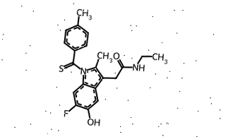 CCNC(=O)Cc1c(C)n(C(=S)c2ccc(C)cc2)c2cc(F)c(O)cc12